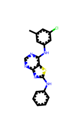 Cc1cc(Cl)cc(Nc2ncnc3nc(Nc4ccccc4)sc23)c1